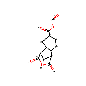 O=COC(=O)C1CCC2C3CC(C(=O)OC3=O)C2C1